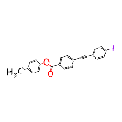 Cc1ccc(OC(=O)c2ccc(C#Cc3ccc(I)cc3)cc2)cc1